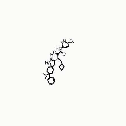 COc1ccc(NC(=O)C(=O)C(CC2CCC2)[C@@H]2CC3(CCC(c4ccccc4)(N(C)C)CC3)NN2)nn1